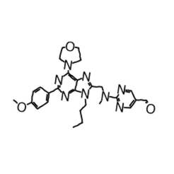 CCCCn1c(CN(C)c2ncc(C=O)cn2)nc2c(N3CCOCC3)nc(-c3ccc(OC)cc3)nc21